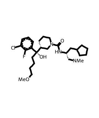 CNC[C@@H](CC1CCCC1)NC(=O)N1CCC[C@@H]([C@@](O)(CCCCOC)c2cccc(Cl)c2F)C1